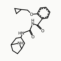 O=C(NC(=O)c1ccccc1OCC1CC1)NC1CC2CCC(C1)N2